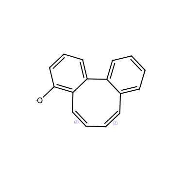 [O]c1cccc2c1/C=C\C=C/c1ccccc1-2